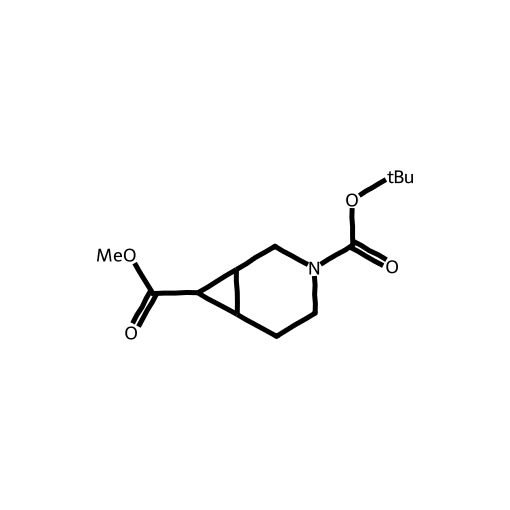 COC(=O)C1C2CCN(C(=O)OC(C)(C)C)CC21